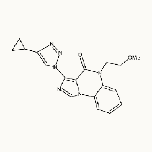 COCCn1c(=O)c2c(-n3cc(C4CC4)nn3)ncn2c2ccccc21